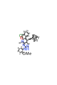 COc1ccccc1Nc1ncc2c(C#C[Si](C(C)C)(C(C)C)C(C)C)c(-c3ccccc3Cl)c(=O)n(C)c2n1